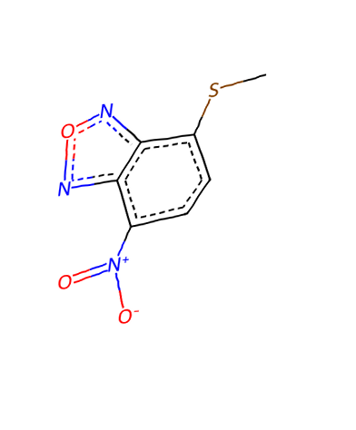 CSc1ccc([N+](=O)[O-])c2nonc12